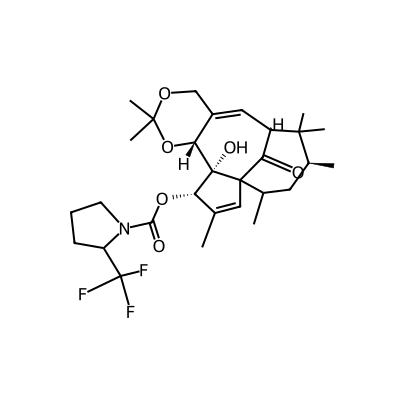 CC1=CC23C(=O)[C@@H](C=C4COC(C)(C)O[C@H]4[C@]2(O)[C@H]1OC(=O)N1CCCC1C(F)(F)F)C(C)(C)[C@@H](C)CC3C